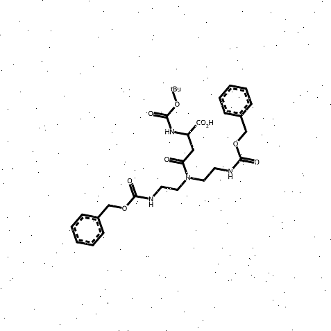 CC(C)(C)OC(=O)NC(CC(=O)N(CCNC(=O)OCc1ccccc1)CCNC(=O)OCc1ccccc1)C(=O)O